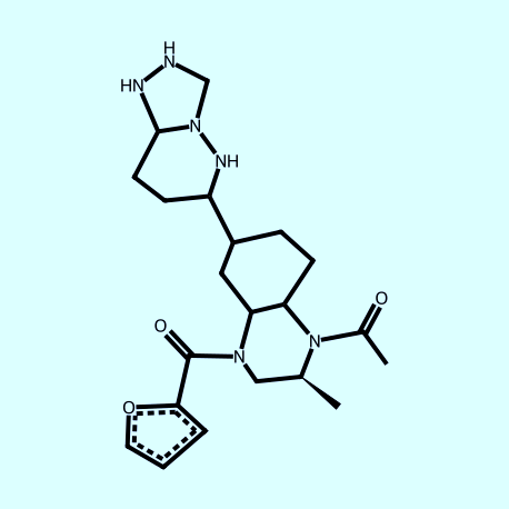 CC(=O)N1C2CCC(C3CCC4NNCN4N3)CC2N(C(=O)c2ccco2)C[C@@H]1C